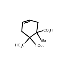 CCCCCCCCC1(C(=O)O)CC=CCC1(C(=O)O)C(C)CC